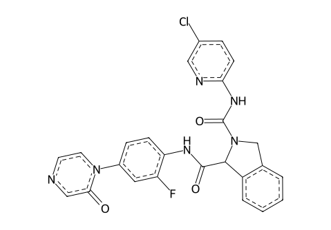 O=C(Nc1ccc(-n2ccncc2=O)cc1F)C1c2ccccc2CN1C(=O)Nc1ccc(Cl)cn1